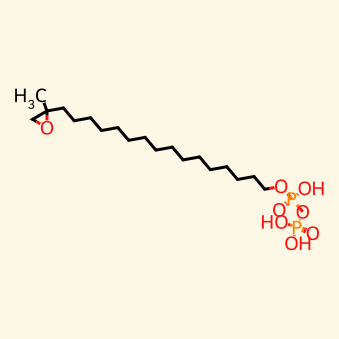 CC1(CCCCCCCCCCCCCCCCOP(=O)(O)OP(=O)(O)O)CO1